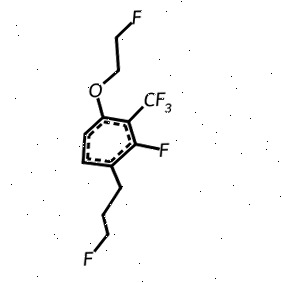 FCCCc1ccc(OCCF)c(C(F)(F)F)c1F